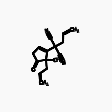 C=CCC(C#N)(C#N)C1=CCC(=O)C1(C)CC=C